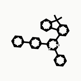 CC1(C)c2ccccc2-c2c(-c3cc(-c4ccc(-c5ccccc5)cc4)nc(-c4ccccc4)n3)cccc21